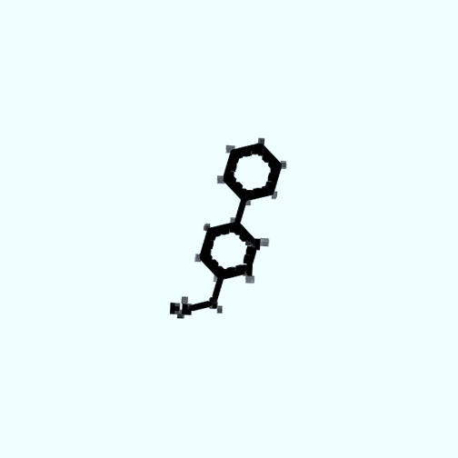 NSc1ccc(-c2ccccc2)nn1